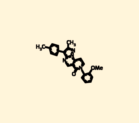 COc1ccccc1-n1ccc2c(cnc3c(-c4ccc(C)cc4)c(C)nn32)c1=O